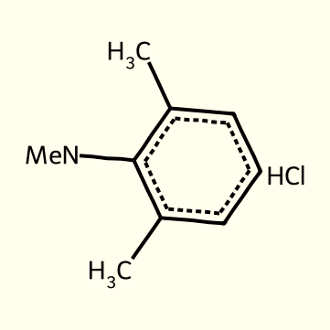 CNc1c(C)cccc1C.Cl